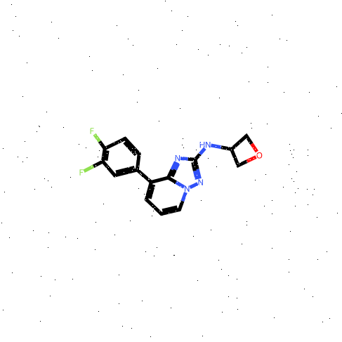 Fc1ccc(-c2cccn3nc(NC4COC4)nc23)cc1F